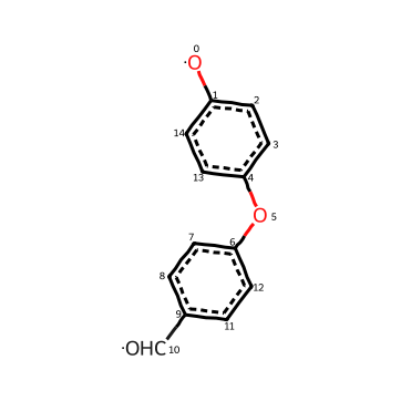 [O]c1ccc(Oc2ccc([C]=O)cc2)cc1